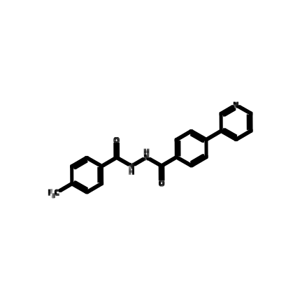 O=C(NNC(=O)c1ccc(C(F)(F)F)cc1)c1ccc(-c2cccnc2)cc1